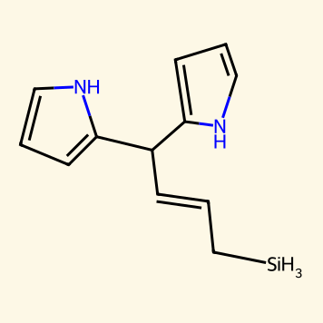 [SiH3]CC=CC(c1ccc[nH]1)c1ccc[nH]1